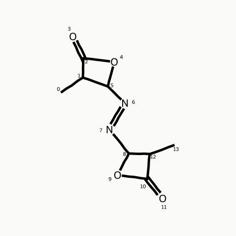 CC1C(=O)OC1N=NC1OC(=O)C1C